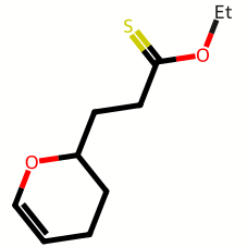 CCOC(=S)CCC1CCC=CO1